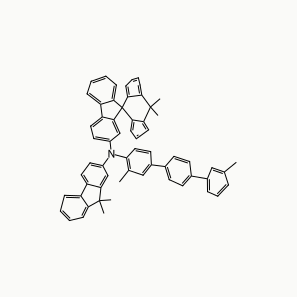 Cc1cccc(-c2ccc(-c3ccc(N(c4ccc5c(c4)C(C)(C)c4ccccc4-5)c4ccc5c(c4)C4(c6ccccc6-5)c5ccccc5C(C)(C)c5ccccc54)c(C)c3)cc2)c1